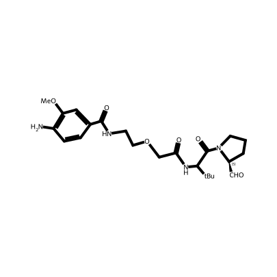 COc1cc(C(=O)NCCOCC(=O)NC(C(=O)N2CCC[C@H]2C=O)C(C)(C)C)ccc1N